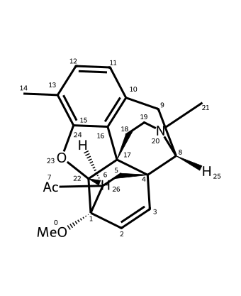 CO[C@@]12C=C[C@@]3(C[C@@H]1C(C)=O)[C@H]1Cc4ccc(C)c5c4[C@@]3(CCN1C)[C@H]2O5